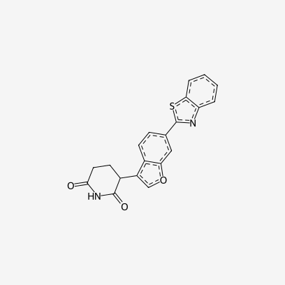 O=C1CCC(c2coc3cc(-c4nc5ccccc5s4)ccc23)C(=O)N1